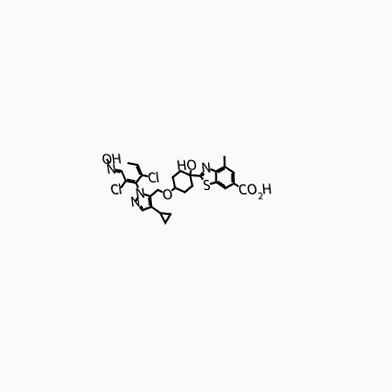 C\C=C(Cl)/C(=C(Cl)\C=N\O)n1ncc(C2CC2)c1COC1CCC(O)(c2nc3c(C)cc(C(=O)O)cc3s2)CC1